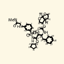 CNC(=O)CNc1cccc(S(=O)(=O)NC(OC2CCCC2)[C@H](O)[C@H](Cc2ccccc2)NC(=O)O[C@@H]2CO[C@@H]3OCC[C@@H]32)c1